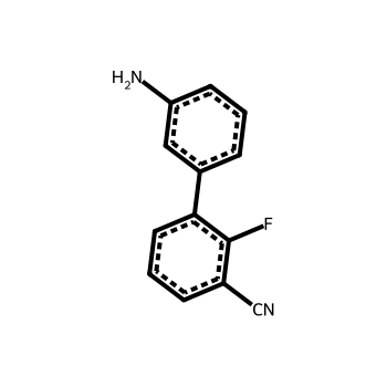 N#Cc1cccc(-c2cccc(N)c2)c1F